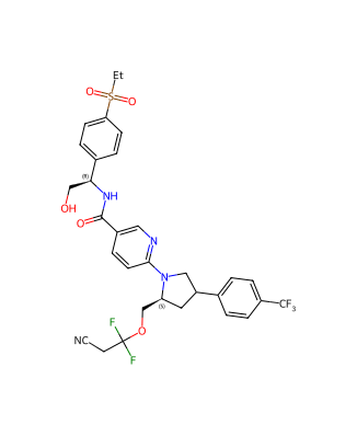 CCS(=O)(=O)c1ccc([C@H](CO)NC(=O)c2ccc(N3CC(c4ccc(C(F)(F)F)cc4)C[C@H]3COC(F)(F)CC#N)nc2)cc1